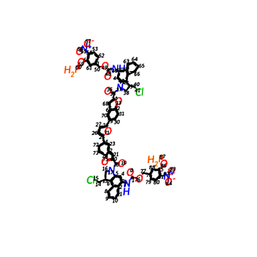 O=C(Nc1cc2c(c3ccccc13)C(CCl)CN2C(=O)c1cc2cc(-c3ccc(-c4ccc5oc(C(=O)N6CC(CCl)c7c6cc(NC(=O)OCc6ccc([N+](=O)[O-])c(OP)c6)c6ccccc76)cc5c4)o3)ccc2o1)OCc1ccc([N+](=O)[O-])c(OP)c1